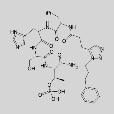 CC(C)C[C@H](NC(=O)CCc1cnnn1CCCc1ccccc1)C(=O)N[C@@H](Cc1cnc[nH]1)C(=O)N[C@@H](CO)C(=O)N[C@H](C(N)=O)[C@@H](C)OP(=O)(O)O